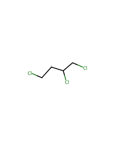 ClC[CH]C(Cl)CCl